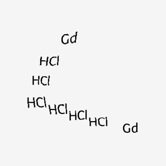 Cl.Cl.Cl.Cl.Cl.Cl.[Gd].[Gd]